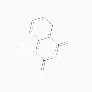 Cl.O=c1[nH]c(=O)c2ccccc2[nH]1